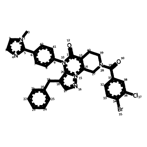 Cn1ccnc1-c1ccc(-n2c(=O)c3c(n4ncc(Cc5ccccc5)c24)CN(C(=O)c2ccc(Br)c(Cl)c2)CC3)cc1